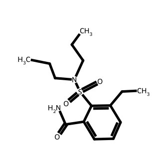 CCCN(CCC)S(=O)(=O)c1c(CC)cccc1C(N)=O